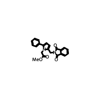 COC(=O)Cn1c(CN2C(=O)c3ccccc3C2=O)ccc1-c1ccccc1